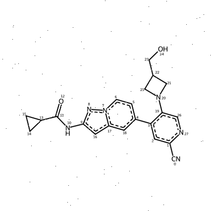 N#Cc1cc(-c2ccn3nc(NC(=O)C4CC4)cc3c2)c(N2CC(CO)C2)cn1